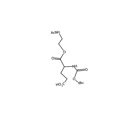 CC(=O)NCCOC(=O)C(CCC(=O)O)NC(=O)OC(C)(C)C